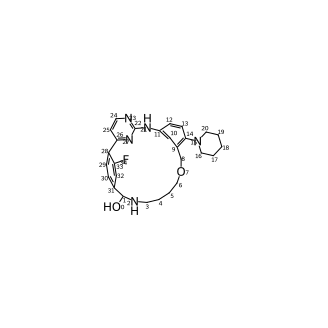 OC1NCCCCOCc2cc(ccc2N2CCCCC2)Nc2nccc(n2)-c2ccc1cc2F